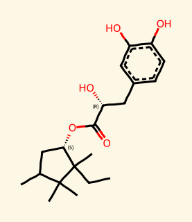 CCC1(C)[C@@H](OC(=O)[C@H](O)Cc2ccc(O)c(O)c2)CC(C)C1(C)C